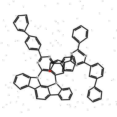 c1ccc(-c2ccc(-c3nc(-c4ccccc4)nc(-n4c5ccccc5c5ccc6c7ccccc7n(-c7cccc(-c8nc(-c9ccccc9)nc(-c9cccc(-c%10ccccc%10)c9)n8)c7)c6c54)n3)cc2)cc1